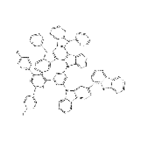 Fc1ccc(-c2nc(-c3ccc(F)cc3)nc(-c3cc(-n4c5ccccc5c5ccc(-c6cccc7c6sc6ccccc67)cc54)cc(-n4c5ccccc5c5c6c(c7ccccc7n6-c6ccccc6)c6c(c7ccccc7n6-c6ccccc6)c54)c3)n2)cc1